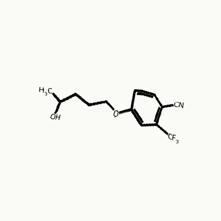 CC(O)CCCOc1ccc(C#N)c(C(F)(F)F)c1